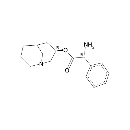 N[C@@H](C(=O)O[C@@H]1CC2CCCN(C2)C1)c1ccccc1